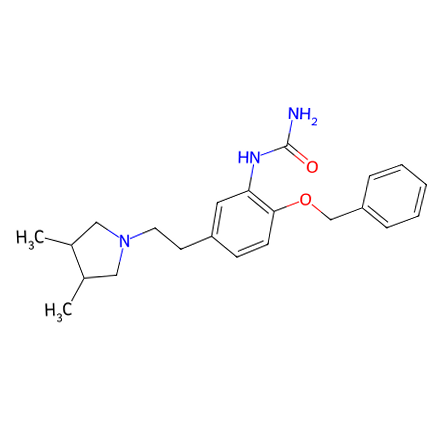 CC1CN(CCc2ccc(OCc3ccccc3)c(NC(N)=O)c2)CC1C